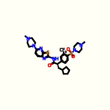 CN1CCN(c2ccc3nc(NC(=O)[C@H](CC4CCCC4)c4ccc(S(=O)(=O)N5CCN(C)CC5)c(C(F)(F)F)c4)sc3n2)CC1